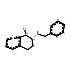 O[C@@H]1c2ccccc2CC[C@H]1NCc1ccccc1